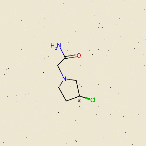 NC(=O)CN1CC[C@H](Cl)C1